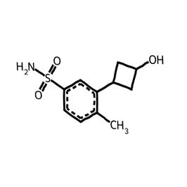 Cc1ccc(S(N)(=O)=O)cc1C1CC(O)C1